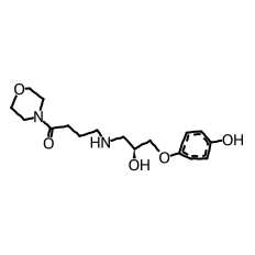 O=C(CCCNC[C@H](O)COc1ccc(O)cc1)N1CCOCC1